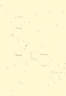 COc1ccc2c(c1)C(=O)N(C[C@@](N)(C(=O)NC=O)c1cc3nc(-c4cn[nH]c4)ccc3o1)C2